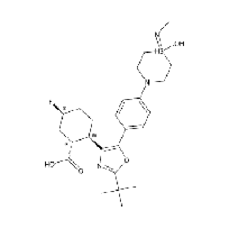 CN=[SH]1(O)CCN(c2ccc(-c3oc(C(C)(C)C)nc3[C@@H]3CC[C@H](F)C[C@H]3C(=O)O)cc2)CC1